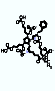 CCNC(=O)CCC/C=C\C[C@@H]1[C@@H](/C=C/[C@H](CCc2ccccc2)OC(=O)OCCCCO[N+](=O)[O-])[C@H](C(CCCOC(=O)O)O[N+](=O)[O-])C[C@@H]1C(CCCOC(=O)O)O[N+](=O)[O-]